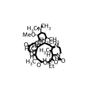 CC[C@H]1OC(=O)[C@H](C)[C@H]2OCC(=O)CO[C@@](C)(C[C@@H](C)C3=NCCN4C(=O)O[C@@]1(C)[C@H]4[C@H]3C)[C@H](O[C@@H]1O[C@H](C)C[C@H](N(C)C)[C@H]1OC)[C@H]2C